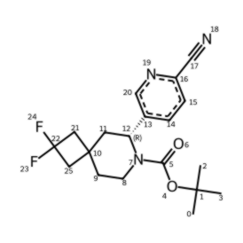 CC(C)(C)OC(=O)N1CCC2(C[C@@H]1c1ccc(C#N)nc1)CC(F)(F)C2